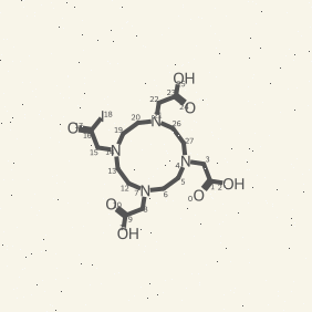 O=C(O)CN1CCN(CC(=O)O)CCN(CC(=O)I)CCN(CC(=O)O)CC1